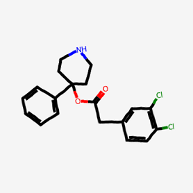 O=C(Cc1ccc(Cl)c(Cl)c1)OC1(c2ccccc2)CCNCC1